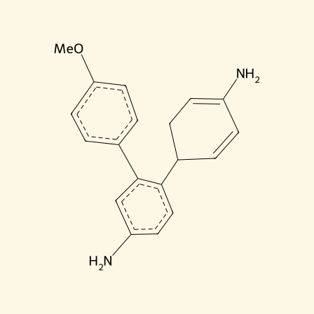 COc1ccc(-c2cc(N)ccc2C2C=CC(N)=CC2)cc1